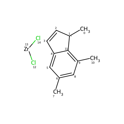 C[C]1C=Cc2cc(C)cc(C)c21.[Cl][Zr][Cl]